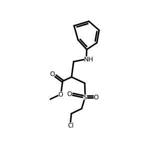 COC(=O)C(CNc1ccccc1)CS(=O)(=O)CCCl